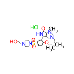 CCCOc1ccc(S(=O)(=O)N2CCN(CCO)CC2)cc1C1NC(=O)C2=C1CN(CCC)CN2C.Cl